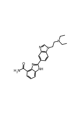 CCN(CC)CCn1cnc2cc(-c3nc4c(C(N)=O)cccc4[nH]3)ccc21